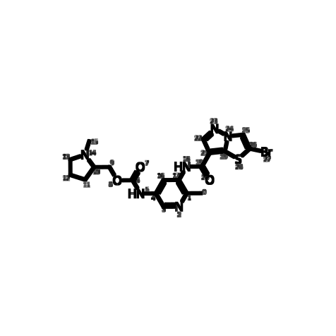 Cc1ncc(NC(=O)OCC2CCCN2C)cc1NC(=O)c1cnn2cc(Br)sc12